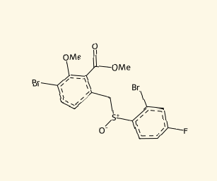 COC(=O)c1c(C[S+]([O-])c2ccc(F)cc2Br)ccc(Br)c1OC